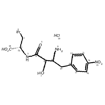 CC(C)C[C@H](NC(=O)C(O)C(N)Cc1ccc([N+](=O)[O-])cc1)C(=O)O.Cl